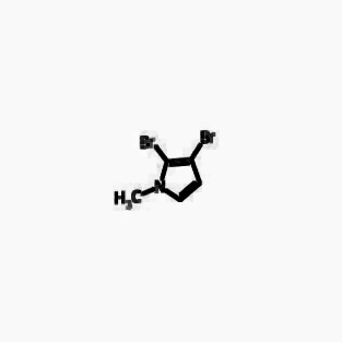 Cn1ccc(Br)c1Br